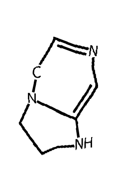 C1=NC=C2NCCN2C1